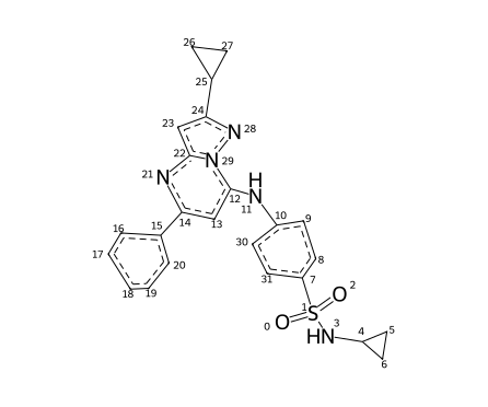 O=S(=O)(NC1CC1)c1ccc(Nc2cc(-c3ccccc3)nc3cc(C4CC4)nn23)cc1